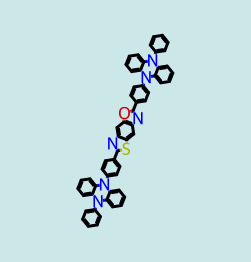 c1ccc(N2c3ccccc3N(c3ccc(-c4nc5cc6sc(-c7ccc(N8c9ccccc9N(c9ccccc9)c9ccccc98)cc7)nc6cc5o4)cc3)c3ccccc32)cc1